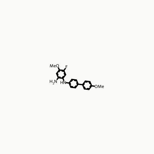 COc1ccc(-c2ccc(Nc3cc(F)c(OC)cc3N)cc2)cc1